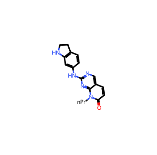 CCCn1c(=O)ccc2cnc(Nc3ccc4c(c3)NCC4)nc21